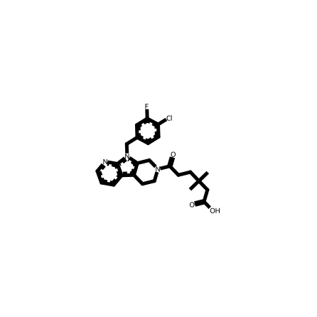 CC(C)(CCC(=O)N1CCc2c(n(Cc3ccc(Cl)c(F)c3)c3ncccc23)C1)CC(=O)O